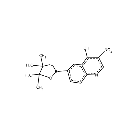 CC1(C)OB(c2ccc3ncc([N+](=O)[O-])c(O)c3c2)OC1(C)C